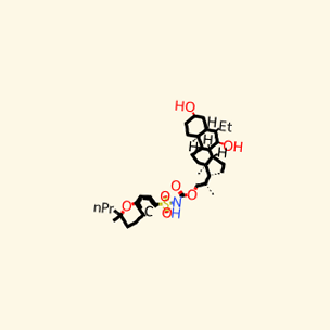 CCCC1(C)CCc2cc(S(=O)(=O)NC(=O)OC[C@@H](C)[C@H]3CC[C@H]4[C@@H]5[C@H](O)[C@H](CC)[C@@H]6C[C@H](O)CC[C@]6(C)[C@H]5CC[C@]34C)ccc2O1